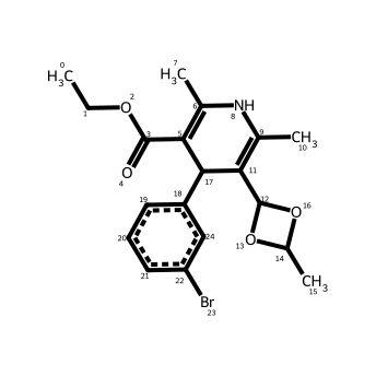 CCOC(=O)C1=C(C)NC(C)=C(C2OC(C)O2)C1c1cccc(Br)c1